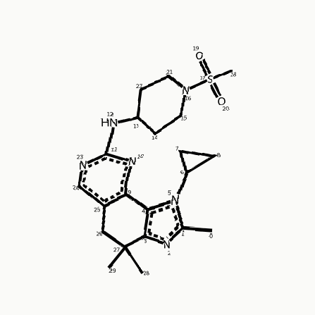 Cc1nc2c(n1C1CC1)-c1nc(NC3CCN(S(C)(=O)=O)CC3)ncc1CC2(C)C